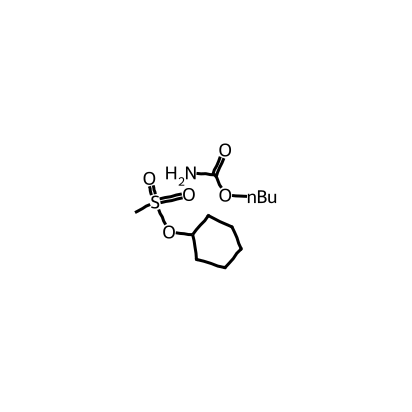 CCCCOC(N)=O.CS(=O)(=O)OC1CCCCC1